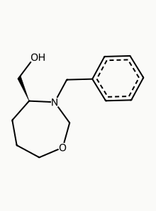 OC[C@@H]1CCCOCN1Cc1ccccc1